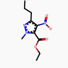 CCCc1nn(C)c(C(=O)OCC)c1[N+](=O)[O-]